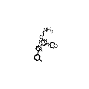 Cc1cccc(-c2ccn(-c3cc(N4CCOCC4)nc(OCCN)n3)n2)c1